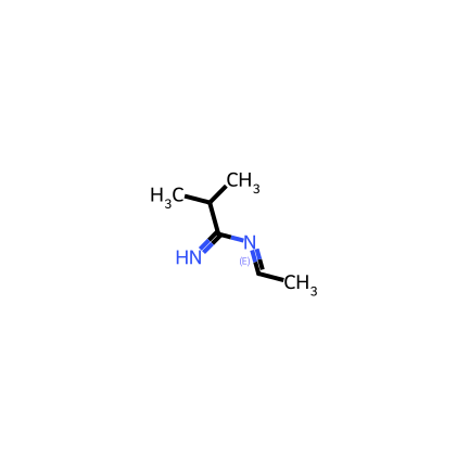 C/C=N/C(=N)C(C)C